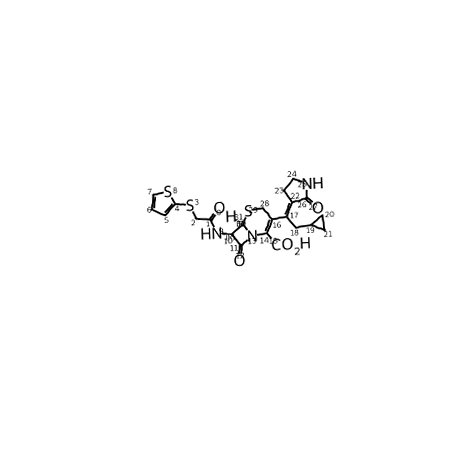 O=C(CSc1cccs1)N[C@@H]1C(=O)N2C(C(=O)O)=C(C(CC3CC3)=C3CCNC3=O)CS[C@H]12